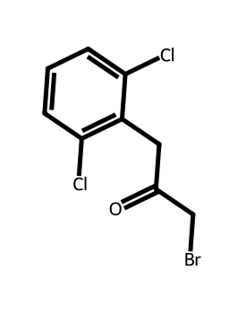 O=C(CBr)Cc1c(Cl)cccc1Cl